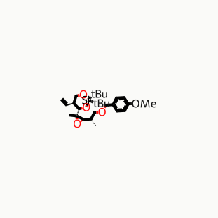 C=C[C@H]1CO[Si](C(C)(C)C)(C(C)(C)C)O[C@@H]1C1(C)O[C@@H]1[C@@H](C)COCc1ccc(OC)cc1